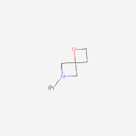 CC(C)N1CC2(CCO2)C1